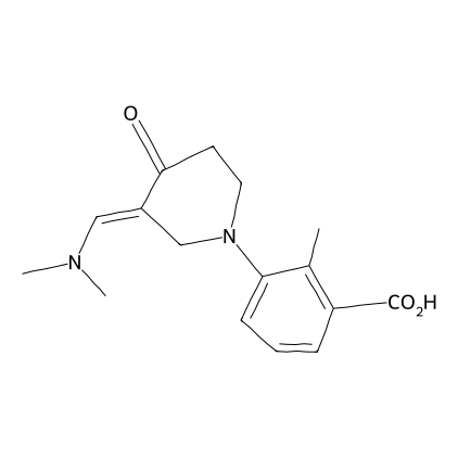 Cc1c(C(=O)O)cccc1N1CCC(=O)C(=CN(C)C)C1